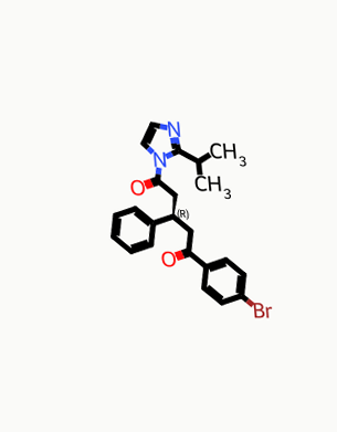 CC(C)c1nccn1C(=O)C[C@@H](CC(=O)c1ccc(Br)cc1)c1ccccc1